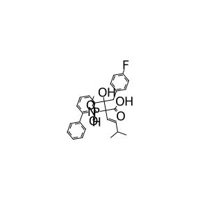 CO[PH](=O)C(C=CC(C)C)(C(=O)O)C(O)(Cc1ccc(F)cc1)c1cccc(-c2ccccc2)n1